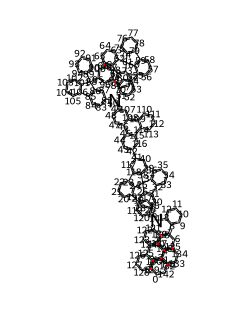 c1ccc(-c2ccc(-c3ccccc3N(c3ccc(-c4cccc5c4C4(c6ccccc6-c6ccccc64)c4ccc(-c6ccc7c8ccc(N(c9ccc(-c%10cccc%11c%10C%10(c%12ccccc%12-c%12ccccc%12%10)c%10ccccc%10-%11)cc9)c9ccc%10c(c9)C(c9ccccc9)(c9ccccc9)c9ccccc9-%10)cc8c8ccccc8c7c6)cc4-5)cc3)c3ccc4c5ccccc5c5ccccc5c4c3)cc2)cc1